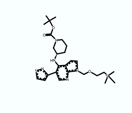 CC(C)(C)OC(=O)N1CCC[C@@H](Nc2c(-c3ccsn3)cnc3c2ccn3COCC[Si](C)(C)C)C1